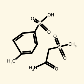 CS(=O)(=O)CC(N)=O.Cc1ccc(S(=O)(=O)O)cc1